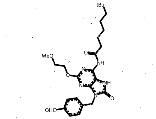 COCCOc1nc(NC(=O)CCCCCC(C)(C)C)c2[nH]c(=O)n(Cc3ccc(C=O)cc3)c2n1